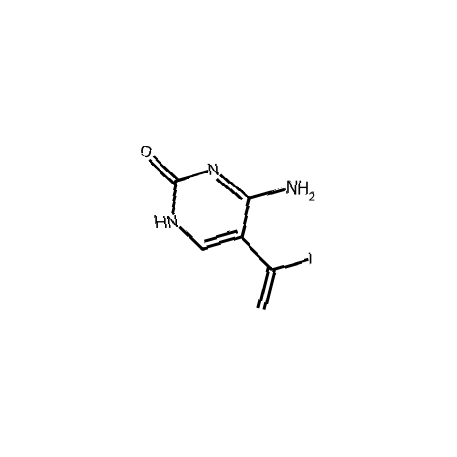 C=C(I)c1c[nH]c(=O)nc1N